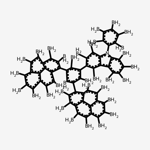 Bc1c(B)c(B)c(-n2c3c(B)c(B)c(B)c(B)c3c3c(B)c(-c4c(B)c(-c5c(B)c(B)c6c(B)c(B)c7c(B)c(B)c(B)c8c(B)c(B)c5c6c78)c(B)c(-c5c(B)c(B)c6c(B)c(B)c7c(B)c(B)c(B)c8c(B)c(B)c5c6c78)c4B)c(B)c(B)c32)c(B)c1B